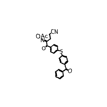 CC(=O)O/N=C(\CCC#N)C(=O)c1ccc(Sc2ccc(C(=O)c3ccccc3)cc2)cc1